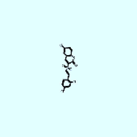 O=c1sc2ccc(Cl)cc2cc1S(=O)(=O)C=Cc1ccc(Cl)cc1Cl